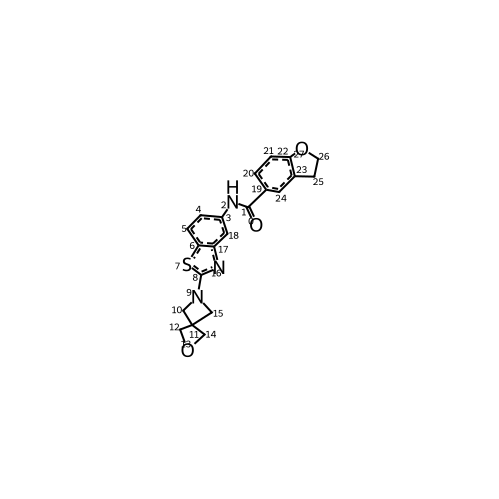 O=C(Nc1ccc2sc(N3CC4(COC4)C3)nc2c1)c1ccc2c(c1)CCO2